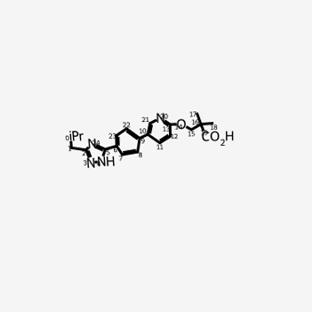 CC(C)Cc1n[nH]c(-c2ccc(-c3ccc(OCC(C)(C)C(=O)O)nc3)cc2)n1